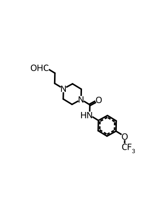 O=CCCN1CCN(C(=O)Nc2ccc(OC(F)(F)F)cc2)CC1